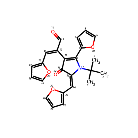 CC(C)(C)N1C(c2ccco2)=C(/C(C=O)=C\c2ccco2)C(=O)/C1=C\c1ccco1